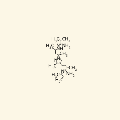 C=C/C(C)=N\N(N)C(C)CCc1nn(C(C)C/C(=C/C)N/N=C(\N)C(C)C)nc1C